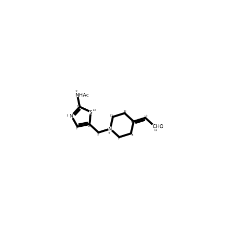 CC(=O)Nc1ncc(CN2CCC(=CC=O)CC2)s1